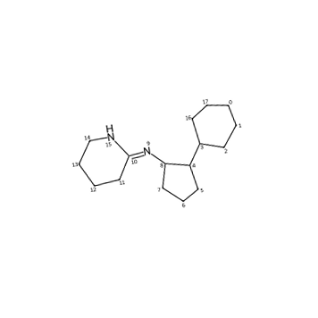 C1CCC(C2CCCC2/N=C2\CCCCN2)CC1